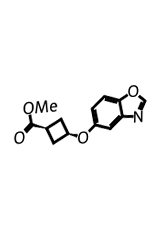 COC(=O)[C@H]1C[C@@H](Oc2ccc3ocnc3c2)C1